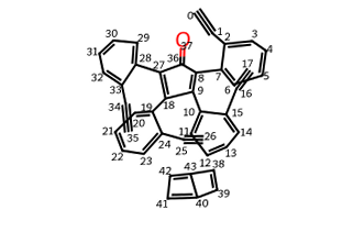 C#Cc1ccccc1C1=C(c2ccccc2C#C)C(c2ccccc2C#C)=C(c2ccccc2C#C)C1=O.c1cc2ccc1-2